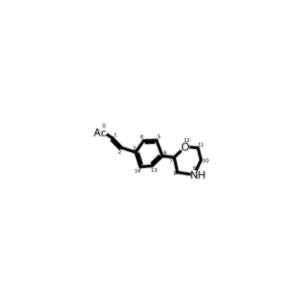 CC(=O)C=Cc1ccc(C2CNCCO2)cc1